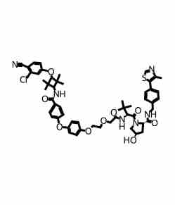 Cc1ncsc1-c1ccc(CNC(=O)[C@@H]2C[C@@H](O)CN2C(=O)[C@@H](NC(=O)COCCOc2ccc(Oc3ccc(C(=O)NC4C(C)(C)C(Oc5ccc(C#N)c(Cl)c5)C4(C)C)cc3)cc2)C(C)(C)C)cc1